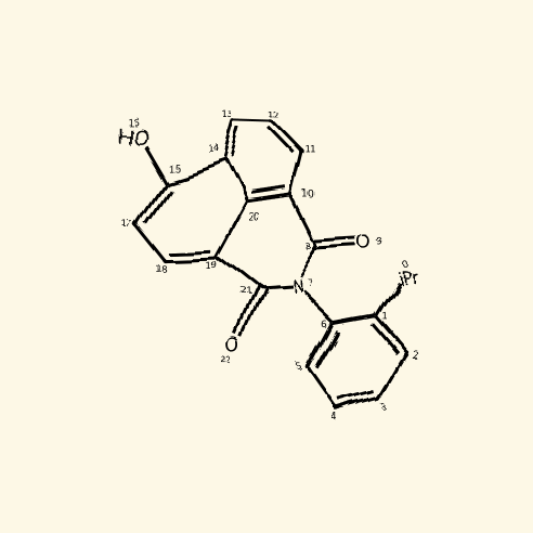 CC(C)c1ccccc1N1C(=O)c2cccc3c(O)ccc(c23)C1=O